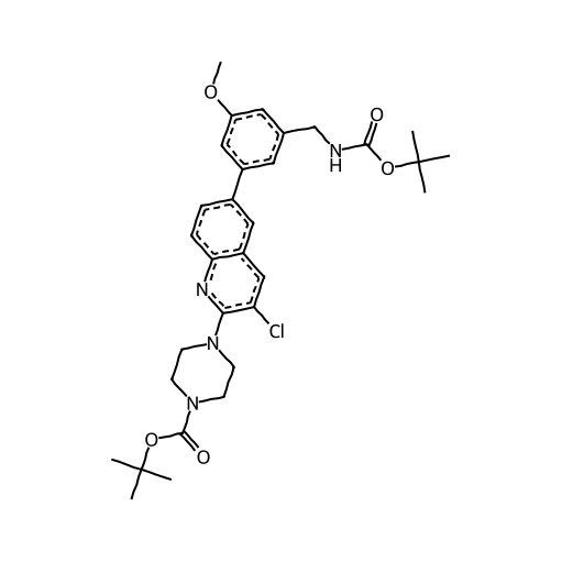 COc1cc(CNC(=O)OC(C)(C)C)cc(-c2ccc3nc(N4CCN(C(=O)OC(C)(C)C)CC4)c(Cl)cc3c2)c1